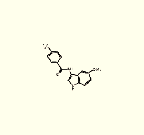 COc1ccc2[nH]cc(NC(=O)c3ccc(C(F)(F)F)cc3)c2c1